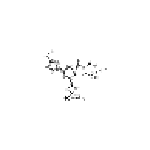 CC1(O)CN(c2cc(NC3CCC(F)(F)CC3)nc(-n3ccc(CF)n3)c2)C1